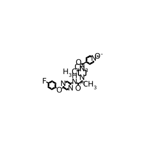 C[C@H](C(=O)Nc1cnc(Oc2ccc(F)cc2)cn1)N1CCN(C(=O)c2cc[n+]([O-])cc2)C(C)(C)C1